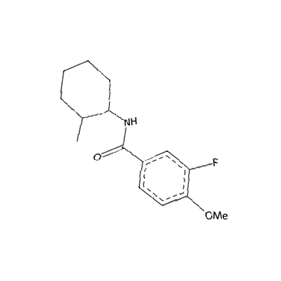 COc1ccc(C(=O)NC2CCCCC2C)cc1F